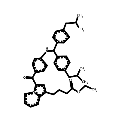 CCOC(=O)CCCc1cc(C(=O)c2ccc(NC(c3ccc(CC(C)C)cc3)c3ccc(CC(C)C)cc3)cc2)n2ccccc12